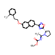 C/C(=N\C(=O)OC(C)(C)C)N1CCC[C@H]1c1nc(-c2ccc3cc(OCCc4ccccc4C(F)(F)F)ccc3c2)no1